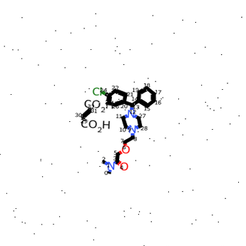 CN(C)C(=O)COCCN1CCN(C(c2ccccc2)c2ccc(Cl)cc2)CC1.O=C(O)/C=C/C(=O)O